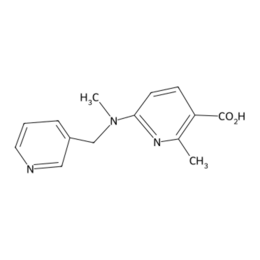 Cc1nc(N(C)Cc2cccnc2)ccc1C(=O)O